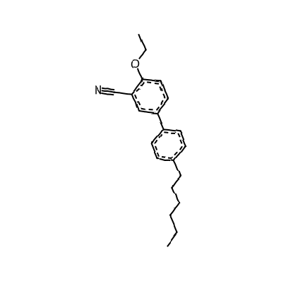 CCCCCCc1ccc(-c2ccc(OCC)c(C#N)c2)cc1